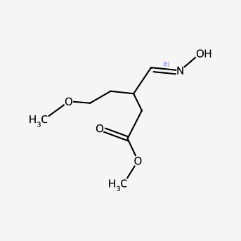 COCCC(/C=N/O)CC(=O)OC